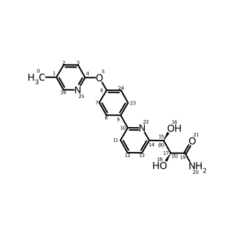 Cc1ccc(Oc2ccc(-c3cccc([C@@H](O)[C@H](O)C(N)=O)n3)cc2)nc1